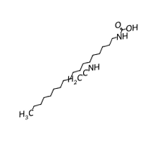 C=C=N.CCCCCCCCCCCCCCCCCCNC(=O)O